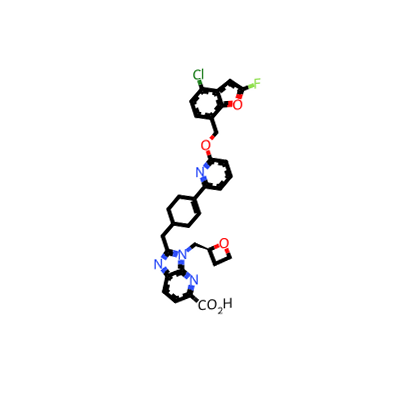 O=C(O)c1ccc2nc(CC3CC=C(c4cccc(OCc5ccc(Cl)c6cc(F)oc56)n4)CC3)n(C[C@@H]3CCO3)c2n1